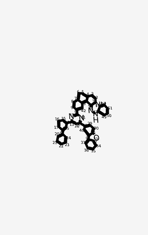 N=C1C=Cc2ccc3ccc(-c4nc(-c5cccc(-c6ccccc6)c5)cc(-c5ccc6oc7ccccc7c6c5)n4)cc3c2/C1=N/Nc1ccccc1